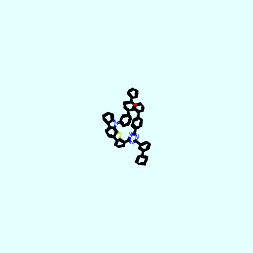 c1ccc(-c2ccc(-c3cccc(-n4c5ccccc5c5ccc6c7cccc(-c8nc(-c9ccc(-c%10ccccc%10)cc9)nc(-c9cccc(-c%10ccccc%10)c9)n8)c7sc6c54)c3)cc2)cc1